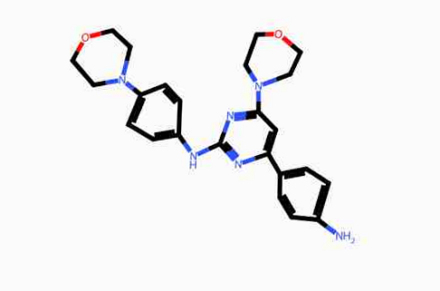 Nc1ccc(-c2cc(N3CCOCC3)nc(Nc3ccc(N4CCOCC4)cc3)n2)cc1